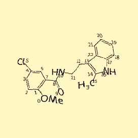 COc1ccc(Cl)cc1C(=O)NCCc1c(C)[nH]c2ccccc12